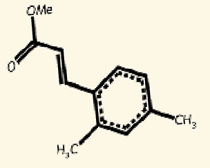 COC(=O)C=Cc1ccc(C)cc1C